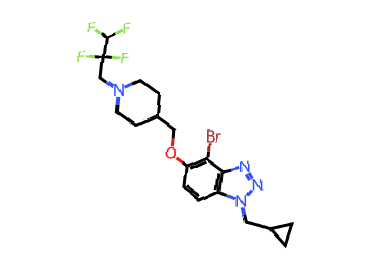 FC(F)C(F)(F)CN1CCC(COc2ccc3c(nnn3CC3CC3)c2Br)CC1